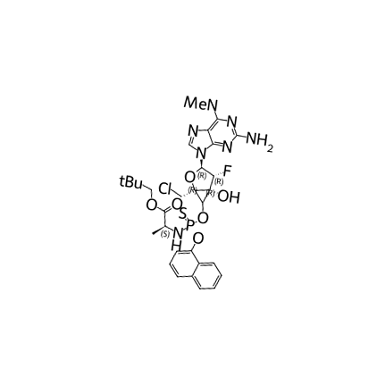 CNc1nc(N)nc2c1ncn2[C@@H]1O[C@]2(CCl)C(OP(=S)(N[C@@H](C)C(=O)OCC(C)(C)C)Oc3cccc4ccccc34)[C@]2(O)[C@H]1F